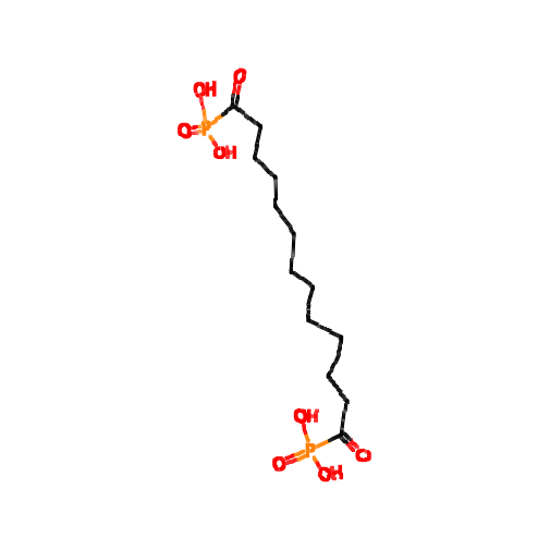 O=C(CCCCCCCCCCCC(=O)P(=O)(O)O)P(=O)(O)O